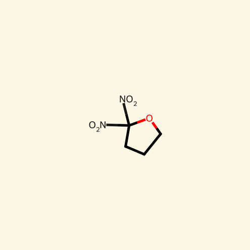 O=[N+]([O-])C1([N+](=O)[O-])CCCO1